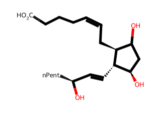 CCCCC[C@H](O)/C=C/[C@H]1[C@H](O)CC(O)[C@@H]1C/C=C\CCCC(=O)O